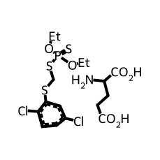 CCOP(=S)(OCC)SCSc1cc(Cl)ccc1Cl.NC(CCC(=O)O)C(=O)O